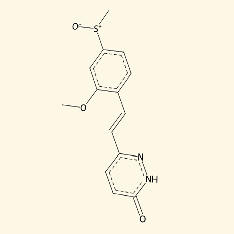 COc1cc([S+](C)[O-])ccc1/C=C/c1ccc(=O)[nH]n1